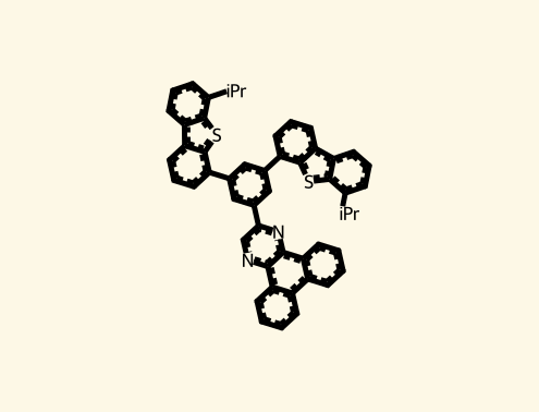 CC(C)c1cccc2c1sc1c(-c3cc(-c4cnc5c6ccccc6c6ccccc6c5n4)cc(-c4cccc5c4sc4c(C(C)C)cccc45)c3)cccc12